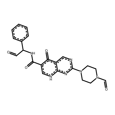 O=[C]C(NC(=O)c1c[nH]c2nc(N3CCN(C=O)CC3)ncc2c1=O)c1ccccc1